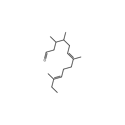 CCC(C)=CCCC(C)=CCC(C)C(C)CC=O